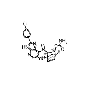 NC(=O)O[C@@H]1[C@H](Nc2c(Cl)cnc3[nH]c(-c4ccc(Cl)cc4)nc23)[C@H]2C=C[C@@H]1C2